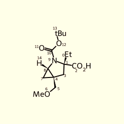 CC[C@@]1(C(=O)O)C[C@]2(COC)C[C@@H]2N1C(=O)OC(C)(C)C